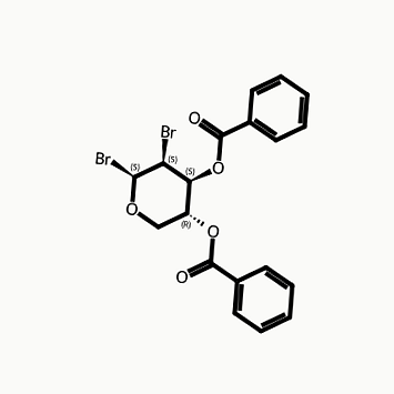 O=C(O[C@@H]1[C@H](Br)[C@H](Br)OC[C@H]1OC(=O)c1ccccc1)c1ccccc1